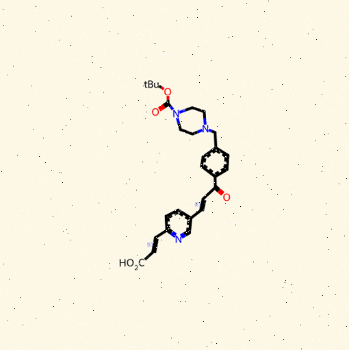 CC(C)(C)OC(=O)N1CCN(Cc2ccc(C(=O)/C=C/c3ccc(/C=C/C(=O)O)nc3)cc2)CC1